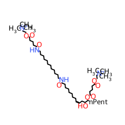 CCCCCC(OC(=O)CCCC(=O)OCC[N+](C)(C)C)C(O)C/C=C\CCCCCCCC(=O)NCCCCCCCCCCCCNC(=O)CCCC(=O)OCC[N+](C)(C)C